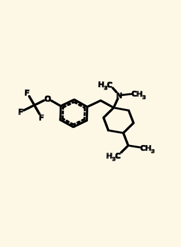 CC(C)C1CCC(Cc2cccc(OC(F)(F)F)c2)(N(C)C)CC1